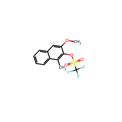 COc1cc2ccccc2c(C)c1OS(=O)(=O)C(F)(F)F